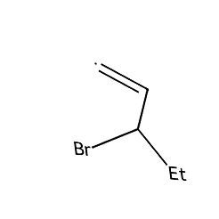 [CH]=CC(Br)CC